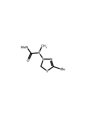 CNC(=O)N(C)N1CSC(C(C)(C)C)=N1